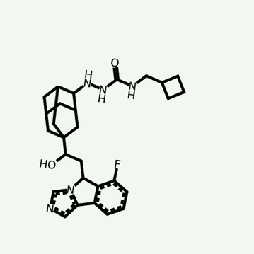 O=C(NCC1CCC1)NNC1C2CC3CC1CC(C(O)CC1c4c(F)cccc4-c4cncn41)(C3)C2